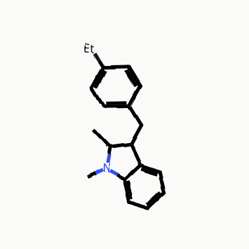 CCc1ccc(CC2[C](C)N(C)c3ccccc32)cc1